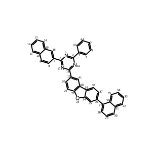 c1ccc(-c2nc(-c3ccc4ccccc4c3)nc(-c3ccc4oc5cc(-c6cccc7ccccc67)ccc5c4c3)n2)cc1